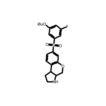 CC(C)COc1cc(F)cc(S(=O)(=O)c2ccc3c(c2)OCC2NCCC32)c1